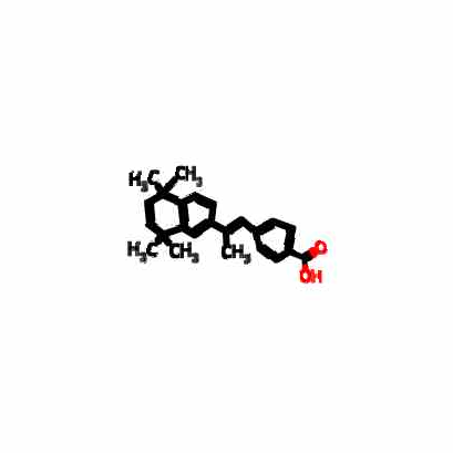 C/C(=C\c1ccc(C(=O)O)cc1)c1ccc2c(c1)C(C)(C)C=CC2(C)C